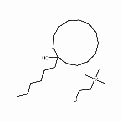 CCCCCCC1(O)CCCCCCCCCCCO1.C[N+](C)(C)CCO